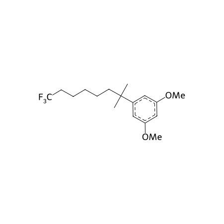 COc1cc(OC)cc(C(C)(C)CCCCCC(F)(F)F)c1